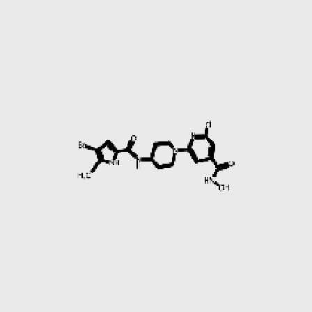 Cc1[nH]c(C(=O)NC2CCN(c3cc(C(=O)NO)cc(Cl)n3)CC2)cc1Br